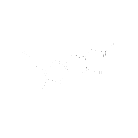 C=CCc1cc(C=C(CC(=O)O)C(=O)O)cc(OC)c1O